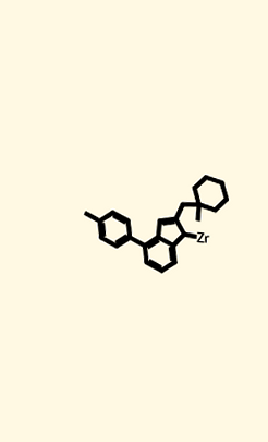 Cc1ccc(-c2cccc3c2C=C(CC2(C)CCCCC2)[CH]3[Zr])cc1